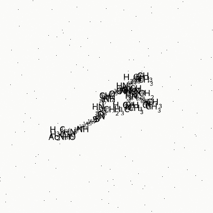 C=C(C)C[C@H](NC(C)=O)C(=O)NCCNCCCCCCSSc1ccc(C(=C)NCCC(=C)NCCOCCOCC(=O)N[C@@H](CCCC[N+](C)(C)C)C(=C)N[C@@H](CCCC[N+](C)(C)C)C(=O)N[C@@H](CCCC[N+](C)(C)C)C(=C)N)cn1